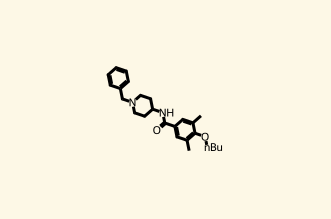 CCCCOc1c(C)cc(C(=O)NC2CCN(Cc3ccccc3)CC2)cc1C